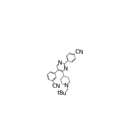 CC(C)(C)CN1CCC(c2nc(-c3ccc(C#N)cc3)ncc2-c2cccc(C#N)c2)CC1